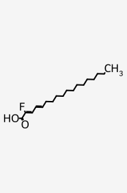 CCCCCCCCCCCCCC=CC=C(F)C(=O)O